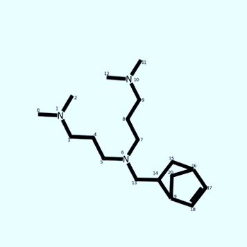 CN(C)CCCN(CCCN(C)C)CC1CC2C=CC1C2